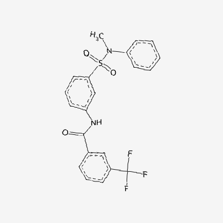 CN(c1ccccc1)S(=O)(=O)c1cccc(NC(=O)c2cccc(C(F)(F)F)c2)c1